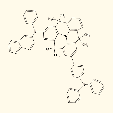 CC1(C)c2cccc3c2N2c4c1cc(-c1ccc(N(c5ccccc5)c5ccccc5)cc1)cc4C(C)(C)c1cc(N(c4ccccc4)c4ccc5ccccc5c4)cc(c12)C3(C)C